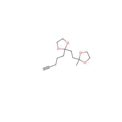 C#CCCCC1(CCC2(C)OCCO2)OCCO1